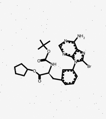 CC(C)(C)OC(=O)N[C@@H](Cc1cccc(-n2c(Br)nc3c(N)ncnc32)c1)C(=O)OC1CCCC1